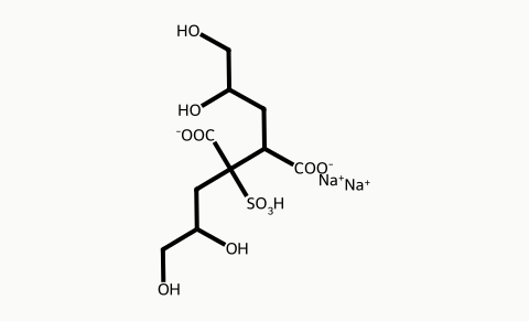 O=C([O-])C(CC(O)CO)C(CC(O)CO)(C(=O)[O-])S(=O)(=O)O.[Na+].[Na+]